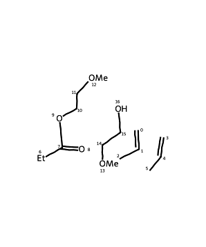 C=CC.C=CC.CCC(=O)OCCOC.COCCO